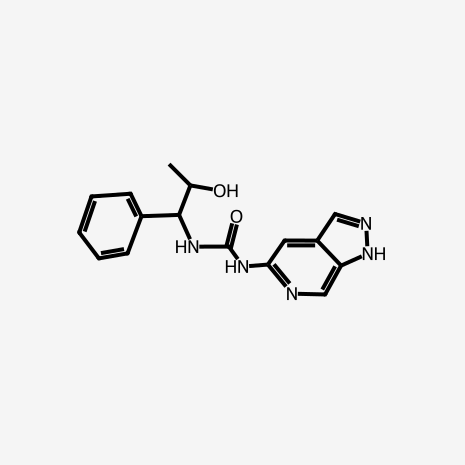 CC(O)C(NC(=O)Nc1cc2cn[nH]c2cn1)c1ccccc1